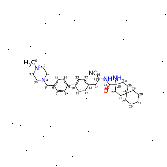 CN1CCN(Cc2ccc(-c3ccc(C[C@@H](C#N)NC(=O)C4(N)CCC5(CCCCC5)CC4)cc3)cc2)CC1